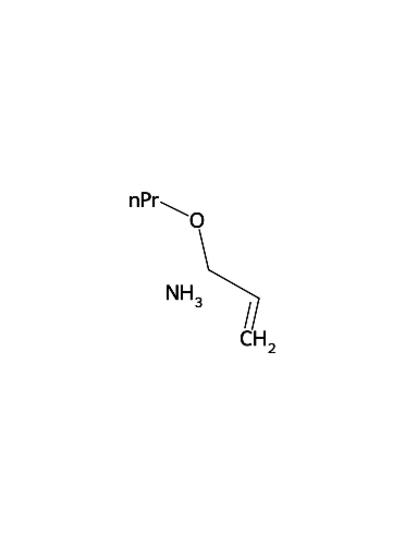 C=CCOCCC.N